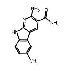 Cc1ccc2[nH]c3nc(N)c(C(N)=O)cc3c2c1